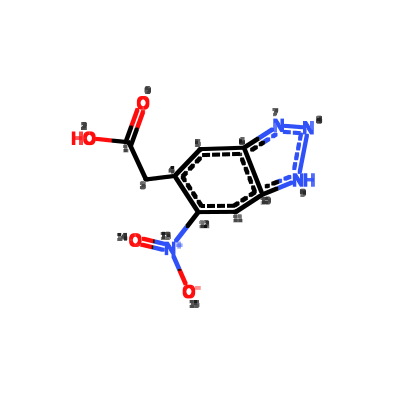 O=C(O)Cc1cc2nn[nH]c2cc1[N+](=O)[O-]